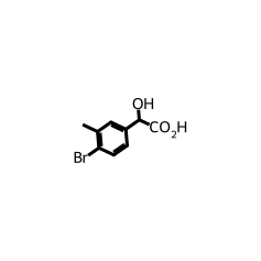 Cc1cc(C(O)C(=O)O)ccc1Br